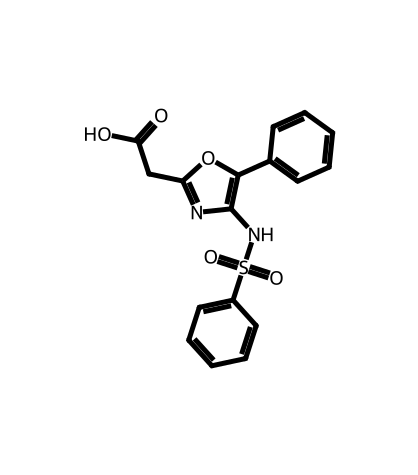 O=C(O)Cc1nc(NS(=O)(=O)c2ccccc2)c(-c2ccccc2)o1